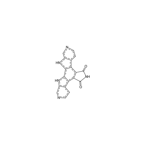 O=C1NC(=O)c2c1c1c3ccncc3[nH]c1c1[nH]c3cnccc3c21